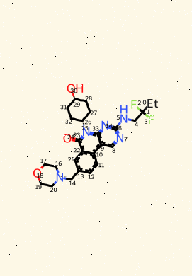 CCC(F)(F)CNc1ncc2c3ccc(CN4CCOCC4)cc3c(=O)n([C@H]3CC[C@H](O)CC3)c2n1